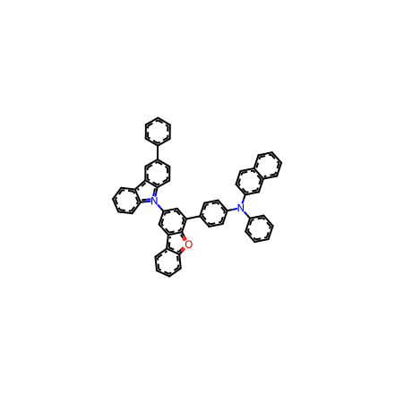 c1ccc(-c2ccc3c(c2)c2ccccc2n3-c2cc(-c3ccc(N(c4ccccc4)c4ccc5ccccc5c4)cc3)c3oc4ccccc4c3c2)cc1